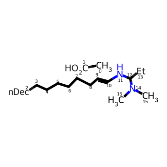 CC(=O)O.CCCCCCCCCCCCCCCCC=CNC(CC)N(C)C